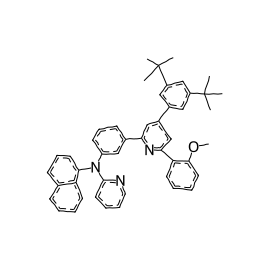 COc1ccccc1-c1cc(-c2cc(C(C)(C)C)cc(C(C)(C)C)c2)cc(-c2cccc(N(c3ccccn3)c3cccc4ccccc34)c2)n1